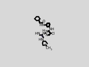 CN1CCC(N/C=C(\C=N)Nc2ncc(Cl)c(Nc3cccc(NC(=O)C=C4CCCCC4)c3)n2)CC1